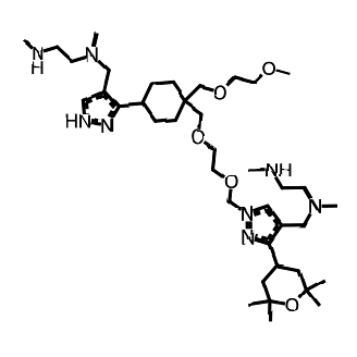 CNCCN(C)Cc1c[nH]nc1C1CCC(COCCOC)(COCCOCn2cc(CN(C)CCNC)c(C3CC(C)(C)OC(C)(C)C3)n2)CC1